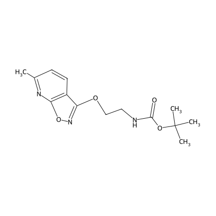 Cc1ccc2c(OCCNC(=O)OC(C)(C)C)noc2n1